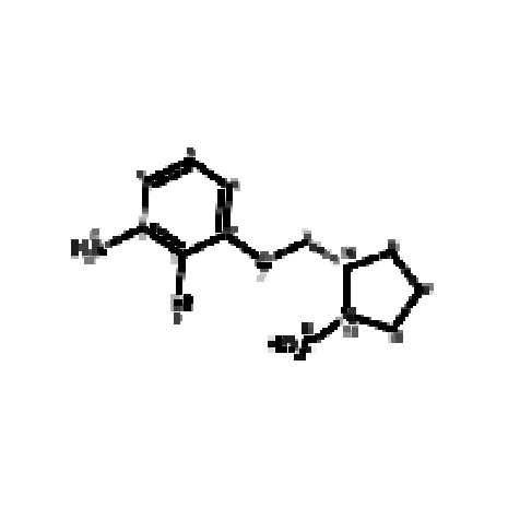 CCc1c(N)cccc1OC[C@@H]1CCCN1C(=O)O